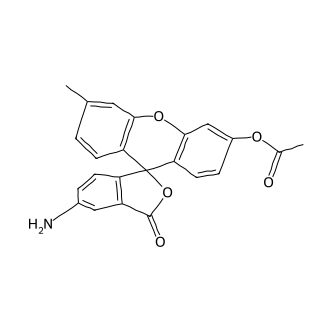 CC(=O)Oc1ccc2c(c1)Oc1cc(C)ccc1C21OC(=O)c2cc(N)ccc21